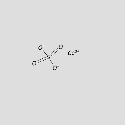 O=S(=O)([O-])[O-].[Ce+2]